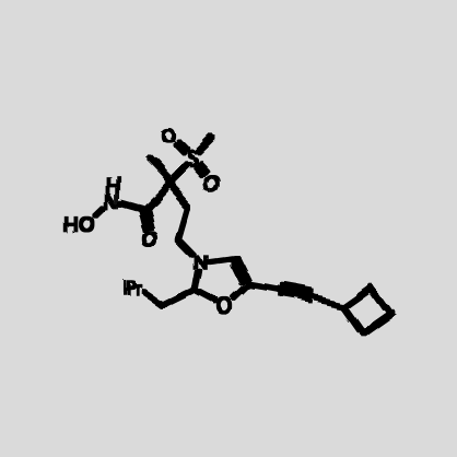 CC(C)CC1OC(C#CC2CCC2)=CN1CCC(C)(C(=O)NO)S(C)(=O)=O